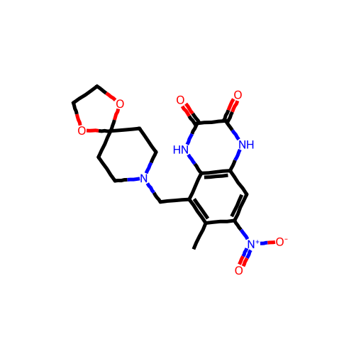 Cc1c([N+](=O)[O-])cc2[nH]c(=O)c(=O)[nH]c2c1CN1CCC2(CC1)OCCO2